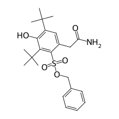 CC(C)(C)c1cc(CC(N)=O)c(S(=O)(=O)OCc2ccccc2)c(C(C)(C)C)c1O